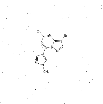 Cn1cc(-c2cc(Cl)nc3c(Br)cnn23)cn1